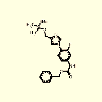 CC(C)(C)[Si](C)(C)OCc1cn(-c2ccc(NC(=O)OCc3ccccc3)cc2F)cn1